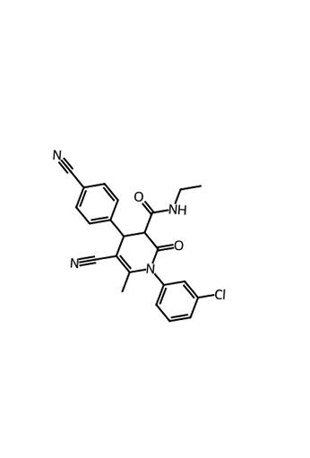 CCNC(=O)C1C(=O)N(c2cccc(Cl)c2)C(C)=C(C#N)C1c1ccc(C#N)cc1